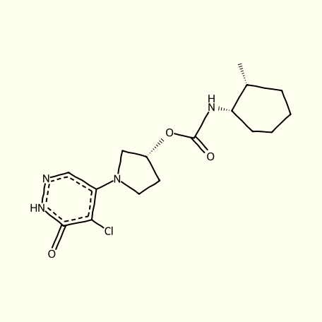 C[C@@H]1CCCC[C@@H]1NC(=O)O[C@@H]1CCN(c2cn[nH]c(=O)c2Cl)C1